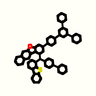 c1ccc(-c2ccc(C(c3cccc4c3sc3ccccc34)c3cc(-c4ccc(-c5cc(-c6ccccc6)cc(-c6ccccc6)c5)cc4)cc4oc5cc6ccccc6cc5c34)cc2)cc1